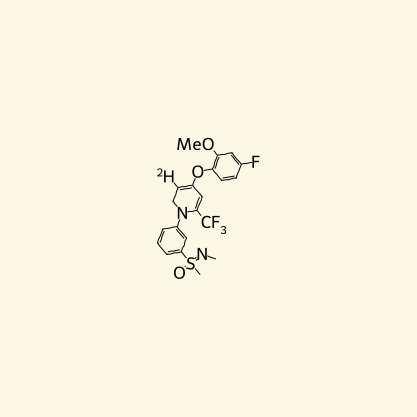 [2H]C1=C(Oc2ccc(F)cc2OC)C=C(C(F)(F)F)N(c2cccc(S(C)(=O)=NC)c2)C1